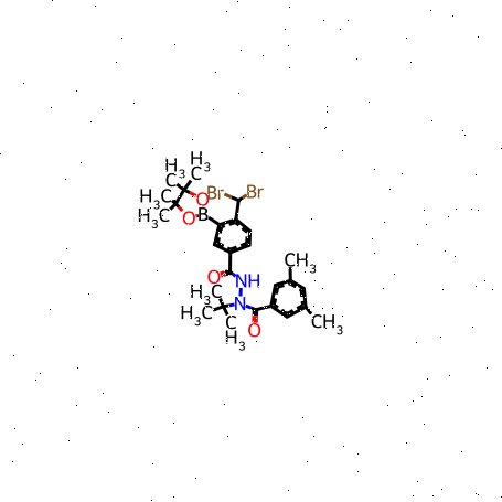 Cc1cc(C)cc(C(=O)N(NC(=O)c2ccc(C(Br)Br)c(B3OC(C)(C)C(C)(C)O3)c2)C(C)(C)C)c1